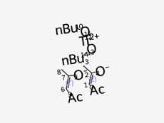 CC(=O)/C=C(/C)[O-].CC(=O)/C=C(/C)[O-].CCCC[O][Ti+2][O]CCCC